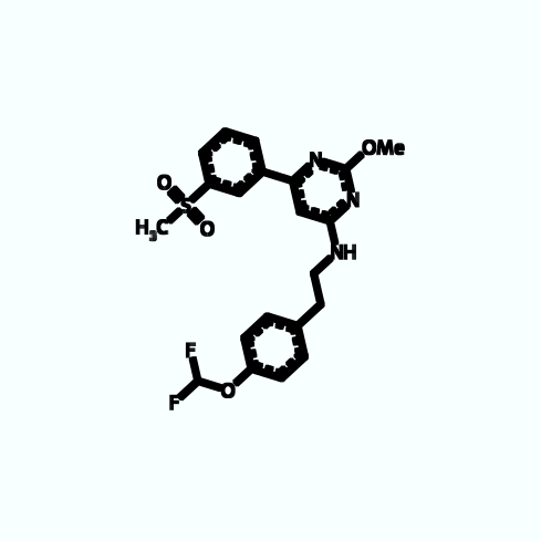 COc1nc(NCCc2ccc(OC(F)F)cc2)cc(-c2cccc(S(C)(=O)=O)c2)n1